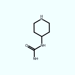 [NH]C(=O)NC1CCNCC1